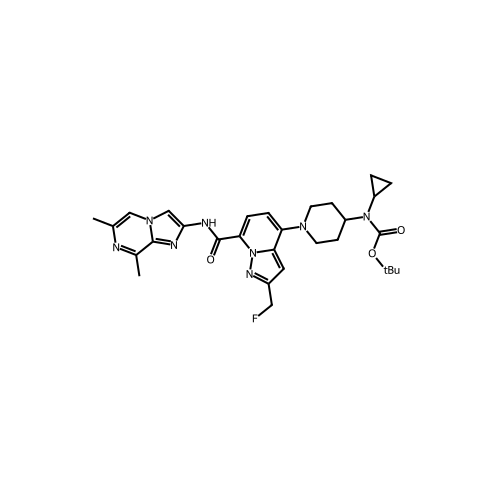 Cc1cn2cc(NC(=O)c3ccc(N4CCC(N(C(=O)OC(C)(C)C)C5CC5)CC4)c4cc(CF)nn34)nc2c(C)n1